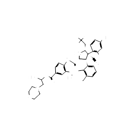 COc1cc(C(=O)OC(C)CN2CCOCC2)ccc1NC(=O)[C@@H]1N[C@@H](CC(C)(C)C)[C@](C#N)(c2ccc(Cl)cc2F)[C@H]1c1cccc(Cl)c1F